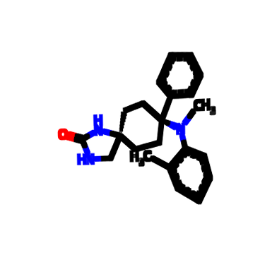 Cc1ccccc1N(C)[C@]1(c2ccccc2)CC[C@]2(CC1)CNC(=O)N2